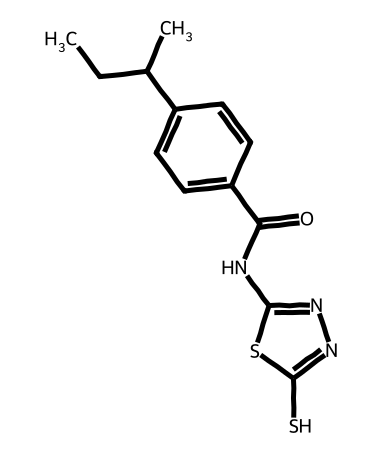 CCC(C)c1ccc(C(=O)Nc2nnc(S)s2)cc1